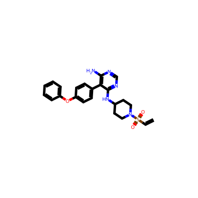 C=CS(=O)(=O)N1CCC(Nc2ncnc(N)c2-c2ccc(Oc3ccccc3)cc2)CC1